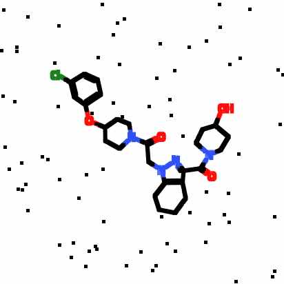 O=C(Cn1nc(C(=O)N2CCC(O)CC2)c2c1CCCC2)N1CCC(Oc2cccc(Cl)c2)CC1